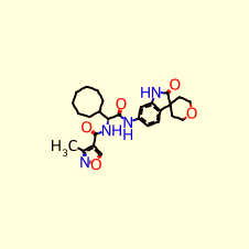 Cc1nocc1C(=O)N[C@H](C(=O)Nc1ccc2c(c1)NC(=O)C21CCOCC1)C1CCCCCCC1